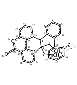 CCC1(CC)C(c2ccccc2-c2cccc[n+]2C)c2cccc3oc(=O)c4ccc[n+]1c4c23